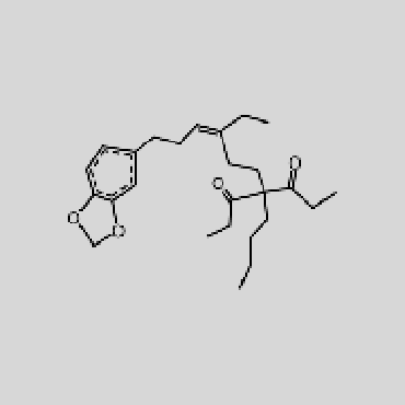 CCCCC(CCC(=CCCc1ccc2c(c1)OCO2)CC)(C(=O)CC)C(=O)CC